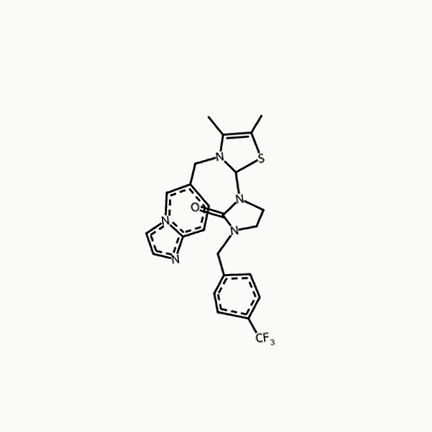 CC1=C(C)N(Cc2ccc3nccn3c2)C(N2CCN(Cc3ccc(C(F)(F)F)cc3)C2=O)S1